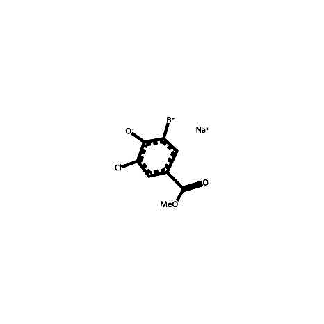 COC(=O)c1cc(Cl)c([O-])c(Br)c1.[Na+]